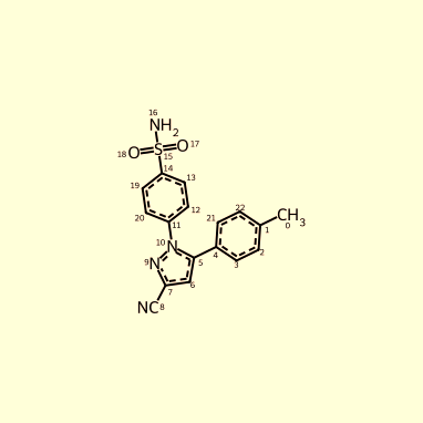 Cc1ccc(-c2cc(C#N)nn2-c2ccc(S(N)(=O)=O)cc2)cc1